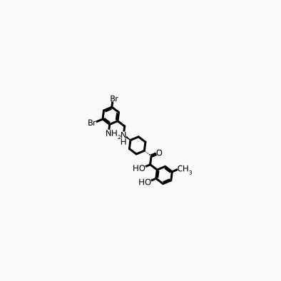 Cc1ccc(O)c(C(O)C(=O)[C@H]2CC[C@H](NCc3cc(Br)cc(Br)c3N)CC2)c1